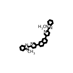 Cn1c(-c2ccc(-c3ccc4ccc(-c5ccc(-c6nc7ccccc7n6C)nc5)cc4c3)cn2)nc2ccccc21